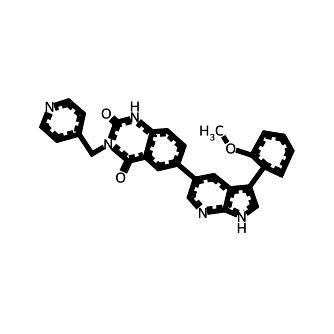 COc1ccccc1-c1c[nH]c2ncc(-c3ccc4[nH]c(=O)n(Cc5ccncc5)c(=O)c4c3)cc12